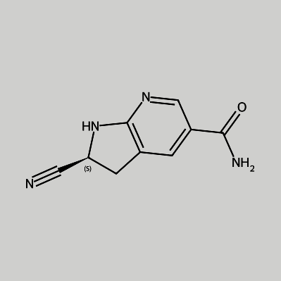 N#C[C@@H]1Cc2cc(C(N)=O)cnc2N1